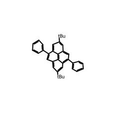 CC(C)(C)c1cc2cc(-c3ccccc3)c3cc(C(C)(C)C)cc4cc(-c5ccccc5)c(c1)c2c43